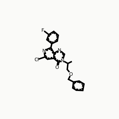 CC(COCc1ccccc1)n1cnc2c(-c3cccc(F)c3)nc(Cl)cc2c1=O